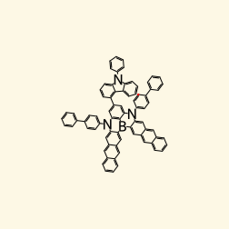 c1ccc(-c2ccc(N3c4cc5cc6ccccc6cc5cc4B4c5cc6cc7ccccc7cc6cc5N(c5ccc(-c6ccccc6)cc5)c5cc(-c6cccc7c6c6ccccc6n7-c6ccccc6)cc3c54)cc2)cc1